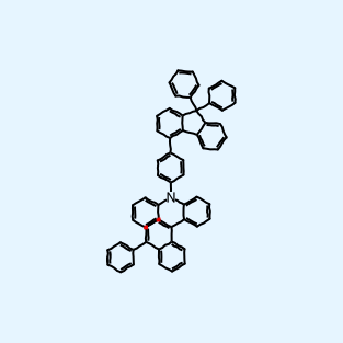 c1ccc(-c2ccc(-c3ccccc3N(c3ccccc3)c3ccc(-c4cccc5c4-c4ccccc4C5(c4ccccc4)c4ccccc4)cc3)c3ccccc23)cc1